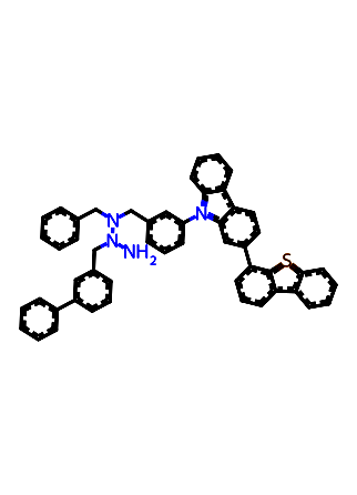 NN(Cc1cccc(-c2ccccc2)c1)N(Cc1ccccc1)Cc1cccc(-n2c3ccccc3c3ccc(-c4cccc5c4sc4ccccc45)cc32)c1